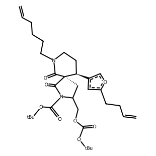 C=CCCCCN1CC[C@@H](c2coc(CCC=C)c2)[C@]2(CC(COC(=O)OC(C)(C)C)N(C(=O)OC(C)(C)C)C2=O)C1=O